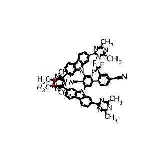 Cc1nc(C)nc(-c2ccc3c4ccc(-c5nc(C)nc(C)n5)cc4n(-c4cc(-c5ccc(C#N)cc5C(F)(F)F)cc(-n5c6cc(-c7nc(C)nc(C)n7)ccc6c6ccc(-c7nc(C)nc(C)n7)cc65)c4C#N)c3c2)n1